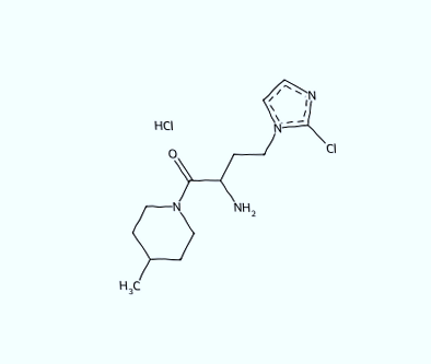 CC1CCN(C(=O)C(N)CCn2ccnc2Cl)CC1.Cl